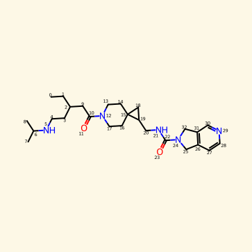 CCC(CCNC(C)C)CC(=O)N1CCC2(CC1)CC2CNC(=O)N1Cc2ccncc2C1